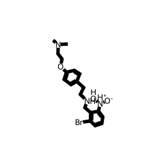 CN(C)CCOc1ccc(CCNCc2c(Br)cccc2[NH+]([O-])O)cc1